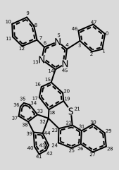 c1ccc(-c2nc(-c3ccccc3)nc(-c3ccc4c(c3)Sc3c(ccc5ccccc35)C43c4ccccc4-c4ccccc43)n2)cc1